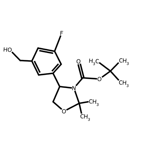 CC(C)(C)OC(=O)N1C(c2cc(F)cc(CO)c2)COC1(C)C